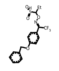 CCC(ON=C(c1ccc(OCc2ccccc2)cc1)C(F)(F)F)[SH](=O)=O